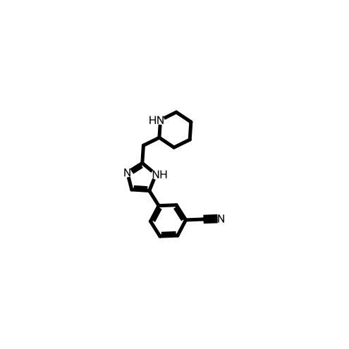 N#Cc1cccc(-c2cnc(CC3CCCCN3)[nH]2)c1